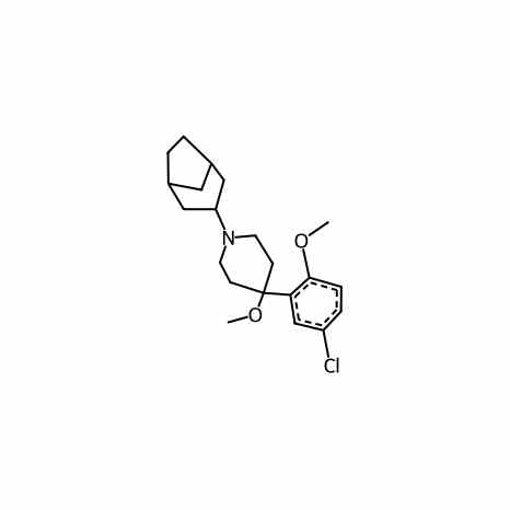 COc1ccc(Cl)cc1C1(OC)CCN(C2CC3CCC(C3)C2)CC1